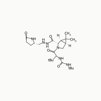 CC(C)(C)NC(=O)NC(C(=O)N1C[C@H]2[C@@H]([C@H]1C(=O)NNC[C@@H]1CCC(=O)N1)C2(C)C)C(C)(C)C